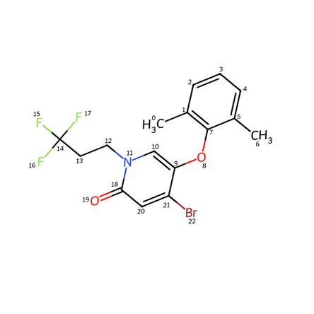 Cc1cccc(C)c1Oc1cn(CCC(F)(F)F)c(=O)cc1Br